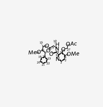 COc1ccnc(C(=O)N[C@@H](C)C(=O)O[C@@H](C)[C@@H](Cc2ccccc2)OC)c1OCOC(C)=O